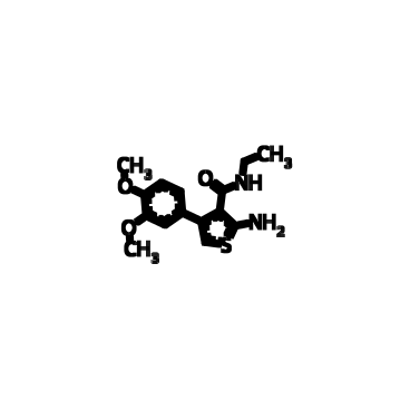 CCNC(=O)c1c(-c2ccc(OC)c(OC)c2)csc1N